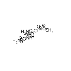 CCOC(=O)c1coc(-c2ccc(NC(=O)n3nc(Nc4ccc(S(N)(=O)=O)cc4)nc3N)cc2)n1